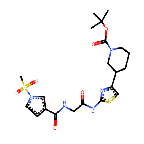 CC(C)(C)OC(=O)N1CCCC(c2csc(NC(=O)CNC(=O)c3ccn(S(C)(=O)=O)c3)n2)C1